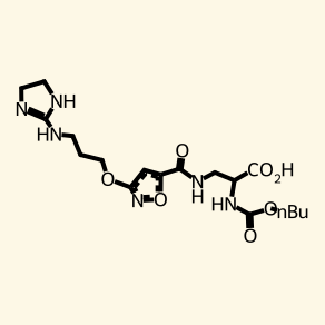 CCCCOC(=O)NC(CNC(=O)c1cc(OCCCNC2=NCCN2)no1)C(=O)O